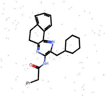 CC(C)CC(=O)Nc1nc2c(nc1CC1CCCCC1)-c1ccccc1CC2